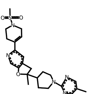 Cc1cnc(N2CCC(C3(C)Cc4cc(C5=CCN(S(C)(=O)=O)CC5)ncc4O3)CC2)nc1